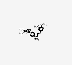 COc1ncc(OCCN(C)C2CCN(c3nc(C(C)C)no3)CC2)cc1C